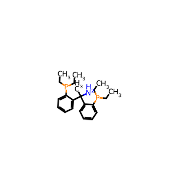 CCP(CC)c1ccccc1C(C)(N)c1ccccc1P(CC)CC